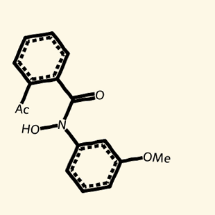 COc1cccc(N(O)C(=O)c2ccccc2C(C)=O)c1